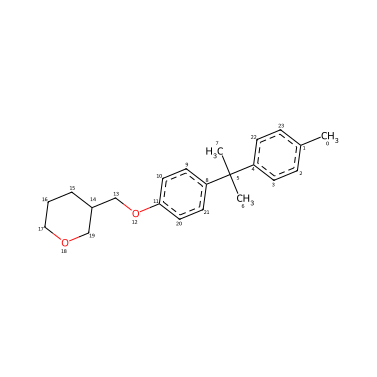 Cc1ccc(C(C)(C)c2ccc(OCC3CCCOC3)cc2)cc1